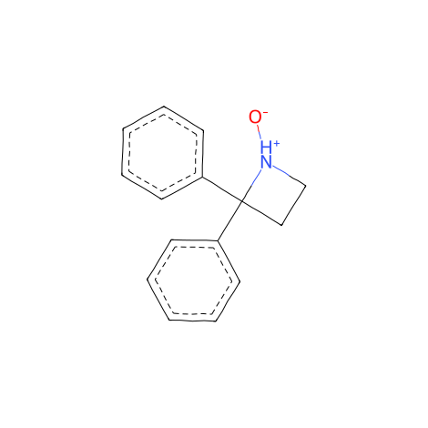 [O-][NH+]1CCC1(c1ccccc1)c1ccccc1